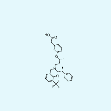 C[C@H](CCN(Cc1cccc(C(F)(F)F)c1Cl)C[C@@H](C)c1ccccc1)Oc1cccc(CC(=O)O)c1